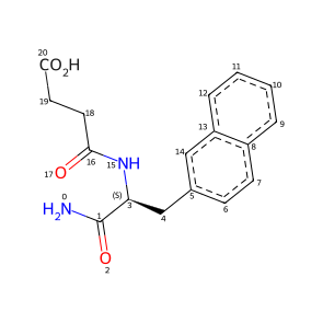 NC(=O)[C@H](Cc1ccc2ccccc2c1)NC(=O)CCC(=O)O